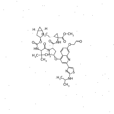 CC[C@@H]1C[C@]1(NC(=O)[C@@H]1C[C@@H](Oc2cc(-c3csc(NC(C)C)n3)nc3cc(OCC=O)ccc23)CN1C(=O)C(NC(=O)O[C@@H]1C[C@@H]2C[C@@H]2C1)C(C)(C)C)C(=O)OC